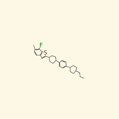 CCCC1CCC(c2ccc(C3CCC(c4cc5ccc(C)c(F)c5s4)CC3)cc2)CC1